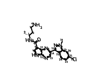 C[C@H](CCN)NC(=O)c1c[nH]c2ncc(-c3nn(C)c4cc(Cl)ccc34)nc12